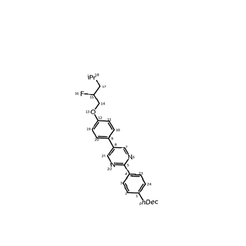 CCCCCCCCCCc1ccc(-c2ncc(-c3ccc(OCC(F)CC(C)C)cc3)cn2)cc1